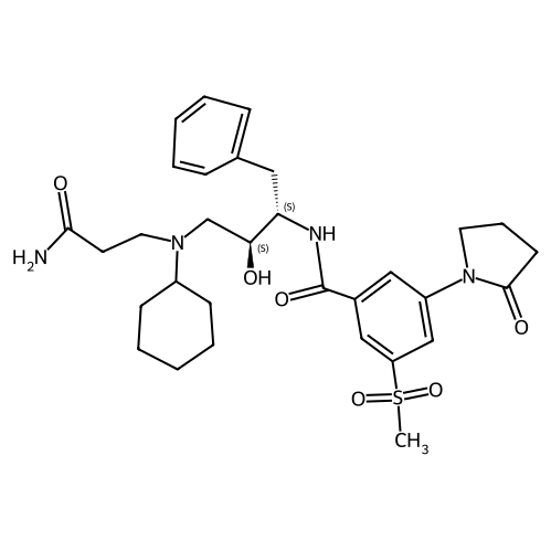 CS(=O)(=O)c1cc(C(=O)N[C@@H](Cc2ccccc2)[C@@H](O)CN(CCC(N)=O)C2CCCCC2)cc(N2CCCC2=O)c1